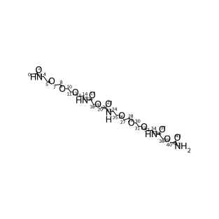 CC(=O)NCCOCCOCCOCCNC(=O)COCC(=O)NCCOCCOCCOCCNC(=O)COCC(N)=O